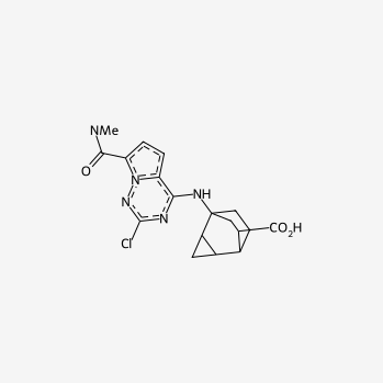 CNC(=O)c1ccc2c(NC34CCC(C(C(=O)O)C3)C3CC34)nc(Cl)nn12